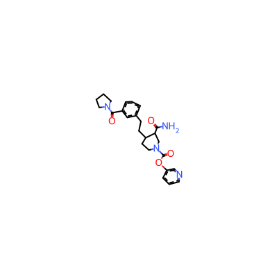 NC(=O)C1CN(C(=O)Oc2cccnc2)CCC1CCc1cccc(C(=O)N2CCCC2)c1